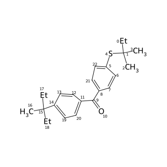 CCC(C)(C)Sc1ccc(C(=O)c2ccc(C(C)(CC)CC)cc2)cc1